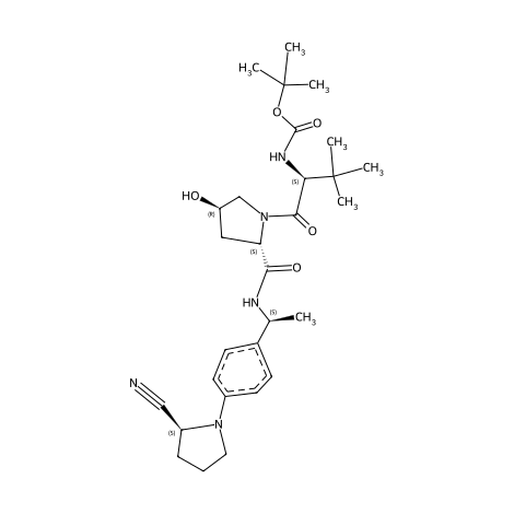 C[C@H](NC(=O)[C@@H]1C[C@@H](O)CN1C(=O)[C@@H](NC(=O)OC(C)(C)C)C(C)(C)C)c1ccc(N2CCC[C@H]2C#N)cc1